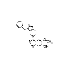 COc1cc2c(N3CCc4cnn(Cc5ccccc5)c4C3)ncnc2cc1O